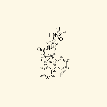 C[C@H]1C[C@H](NS(C)(=O)=O)CN1C(=O)[C@@]1(C)C[C@@H]1c1ccccc1-c1c(F)cccc1F